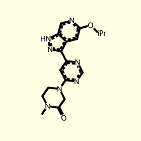 CC(C)Oc1cc2c(-c3cc(N4CCN(C)C(=O)C4)ncn3)n[nH]c2cn1